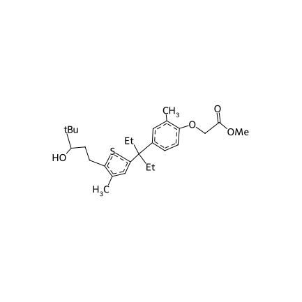 CCC(CC)(c1ccc(OCC(=O)OC)c(C)c1)c1cc(C)c(CCC(O)C(C)(C)C)s1